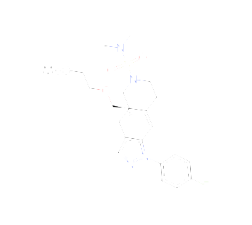 COCCOC[C@]12Cc3cnn(-c4ccc(F)cc4)c3C=C1CCN(S(=O)(=O)N(C)C)C2